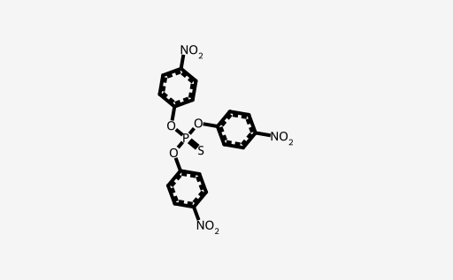 O=[N+]([O-])c1ccc(OP(=S)(Oc2ccc([N+](=O)[O-])cc2)Oc2ccc([N+](=O)[O-])cc2)cc1